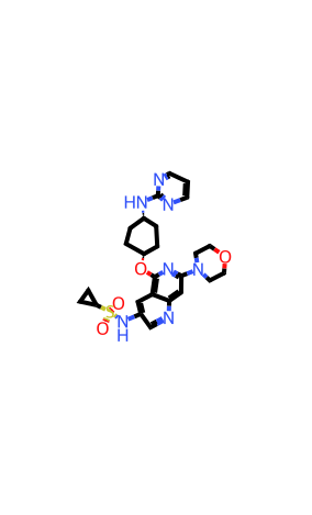 O=S(=O)(Nc1cnc2cc(N3CCOCC3)nc(O[C@H]3CC[C@@H](Nc4ncccn4)CC3)c2c1)C1CC1